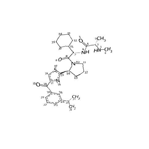 CN[C@@H](C)C(=O)N[C@H](C(=O)N1CCC[C@H]1c1nc(C(=O)c2cccc(C(C)C)c2)cs1)C1CCCCC1